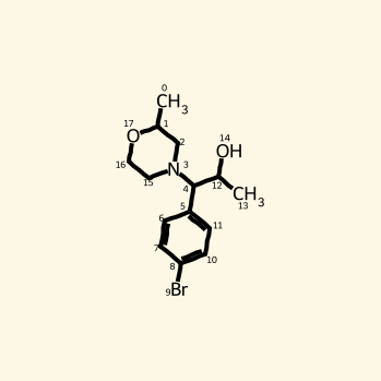 CC1CN(C(c2ccc(Br)cc2)C(C)O)CCO1